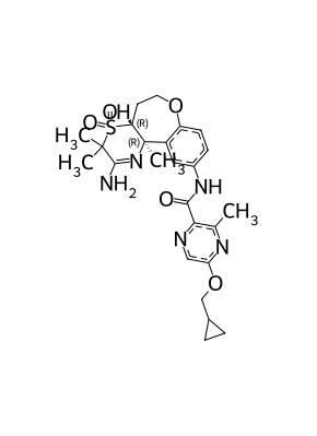 Cc1nc(OCC2CC2)cnc1C(=O)Nc1ccc2c(c1)[C@@]1(C)N=C(N)C(C)(C)S(=O)(=O)[C@@H]1CCO2